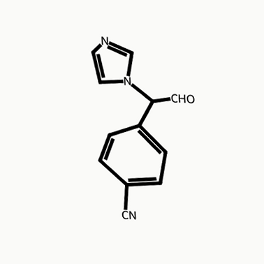 N#Cc1ccc(C(C=O)n2ccnc2)cc1